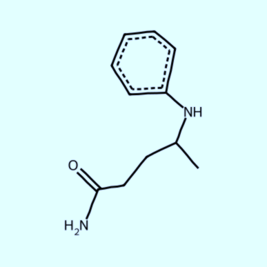 CC(CCC(N)=O)Nc1ccccc1